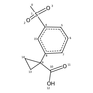 CS(=O)(=O)c1cccc(C2(C(=O)O)CC2)c1